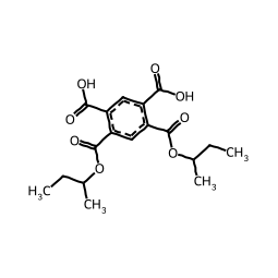 CCC(C)OC(=O)c1cc(C(=O)OC(C)CC)c(C(=O)O)cc1C(=O)O